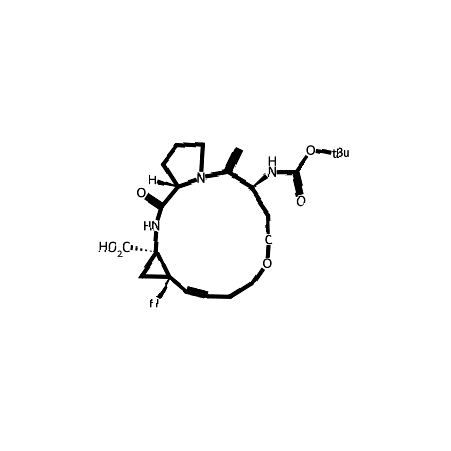 C=C1[C@@H](NC(=O)OC(C)(C)C)CCOCC/C=C\[C@@H]2C[C@@]2(C(=O)O)NC(=O)[C@@H]2CCCN12